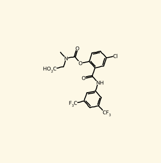 CN(CC(=O)O)C(=O)Oc1ccc(Cl)cc1C(=O)Nc1cc(C(F)(F)F)cc(C(F)(F)F)c1